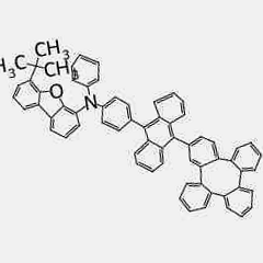 CC(C)(C)c1cccc2c1oc1c(N(c3ccccc3)c3ccc(-c4c5ccccc5c(-c5ccc6c(c5)-c5ccccc5-c5ccccc5-c5ccccc5-6)c5ccccc45)cc3)cccc12